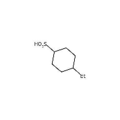 CCC1CCC(S(=O)(=O)O)CC1